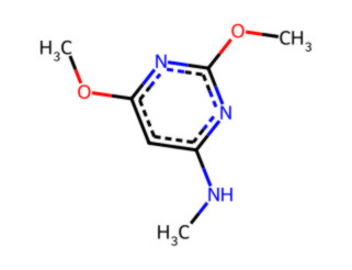 CNc1cc(OC)nc(OC)n1